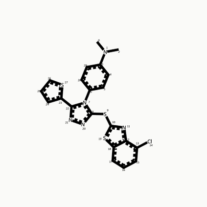 CN(C)c1ccc(-n2c(Sc3nc4c(Cl)cccc4s3)nnc2-c2cccs2)cc1